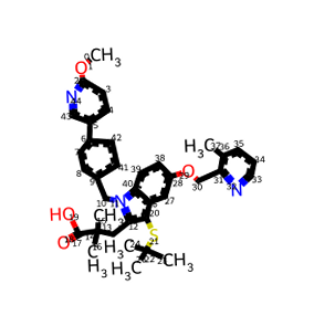 COc1ccc(-c2ccc(Cn3c(CC(C)(C)C(=O)O)c(SC(C)(C)C)c4cc(OCc5ncccc5C)ccc43)cc2)cn1